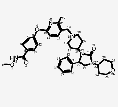 CONC(=O)c1ccc(Oc2ccc(CN3CCC(N4C(=O)N(C5CCOCC5)C[C@H]4c4ccccc4)CC3)c(C)n2)cc1